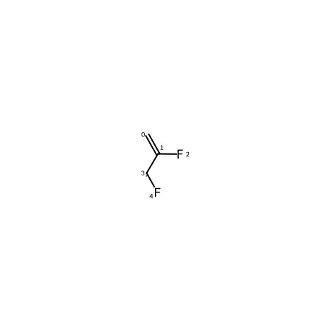 C=C(F)[CH]F